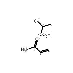 C=CC(N)=O.CC(Cl)C(=O)O